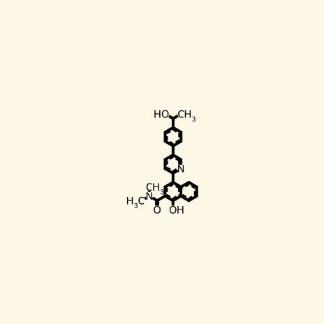 CC(O)c1ccc(-c2ccc(-c3cc(C(=O)N(C)C)c(O)c4ccccc34)nc2)cc1